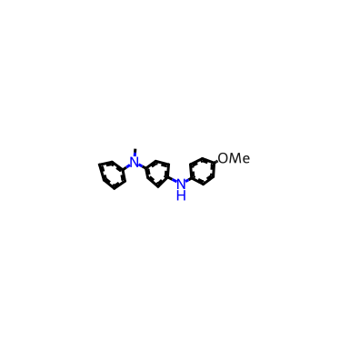 COc1ccc(Nc2ccc(N(C)c3ccccc3)cc2)cc1